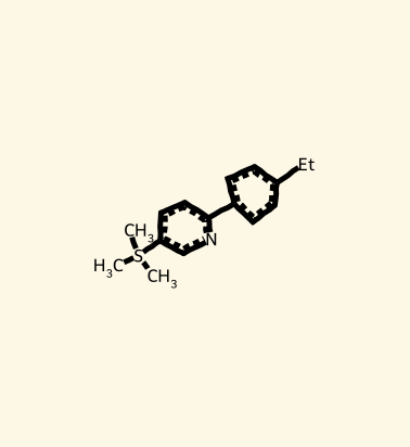 CCc1ccc(-c2ccc(S(C)(C)C)cn2)cc1